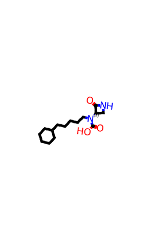 O=C1NC[C@@H]1N(CCCCCC1CCCCC1)C(=O)O